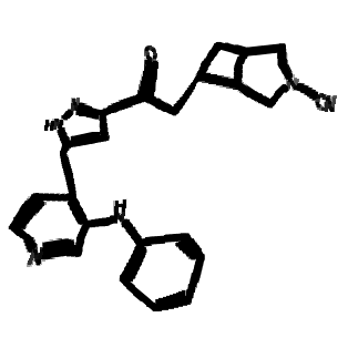 N#CN1CC2C[C@H](CC(=O)c3cc(-c4ccncc4Nc4ccccc4)[nH]n3)C2C1